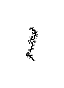 CCCCC(C)(CC)NCCCCCC(=O)NC(CCC(=O)C(C)(CC)CCCC)C(=O)O